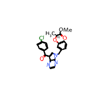 COC(=O)[C@H](C)Oc1cccc(Cn2cc(C(=O)c3ccc(Cl)cc3)c3nccnc32)c1